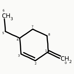 C=C1C=CC(CC)CC1